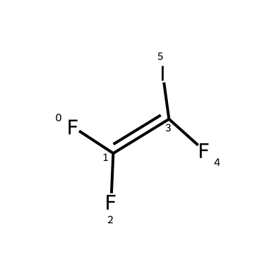 FC(F)=C(F)I